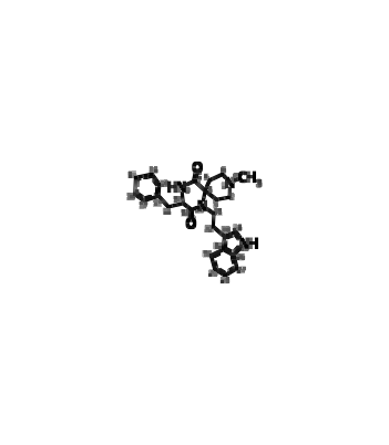 CN1CCC2(CC1)C(=O)NC(Cc1ccccc1)C(=O)N2CCc1c[nH]c2ccccc12